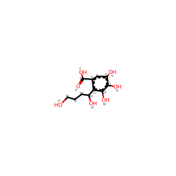 O=C(O)c1cc(O)c(O)c(O)c1C(O)CCCO